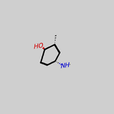 C[C@@H]1C[C@H]([NH])CC[C@H]1O